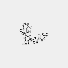 COc1ccc(C(=O)Nc2c(Cl)cncc2Cl)cc1-c1nc(-c2ccc(Cl)cc2)no1